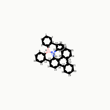 c1ccc2c(c1)B1c3ccccc3-c3ccc4c5ccccc5c5ccccc5c4c3N1c1ccccc1-2